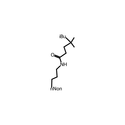 CCCCCCCCCCCCNC(=O)CCC(C)(C)C(C)CC